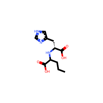 CCCC(N[C@H](Cc1c[nH]cn1)C(=O)O)C(=O)O